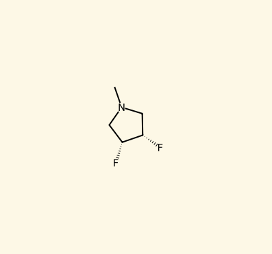 CN1C[C@@H](F)[C@@H](F)C1